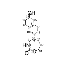 O=C1NC[C@@H](c2ccc3c(c2)CCC(O)C3)CCCO1